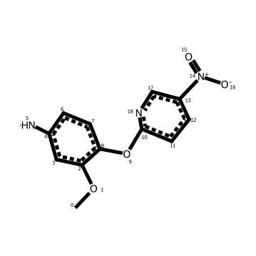 COc1cc([NH])ccc1Oc1ccc([N+](=O)[O-])cn1